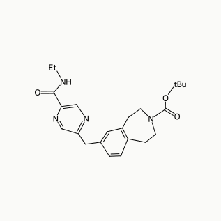 CCNC(=O)c1cnc(Cc2ccc3c(c2)CCN(C(=O)OC(C)(C)C)CC3)cn1